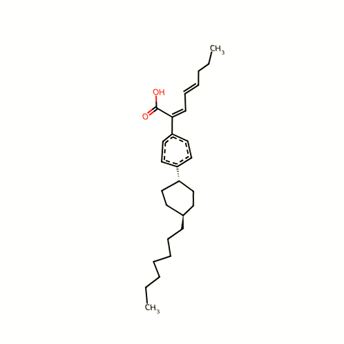 CCCC=CC=C(C(=O)O)c1ccc([C@H]2CC[C@H](CCCCCCC)CC2)cc1